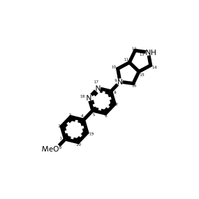 COc1ccc(-c2ccc(N3CC4CNCC4C3)nn2)cc1